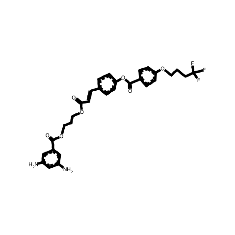 Nc1cc(N)cc(C(=O)OCCCOC(=O)C=Cc2ccc(OC(=O)c3ccc(OCCCC(F)(F)F)cc3)cc2)c1